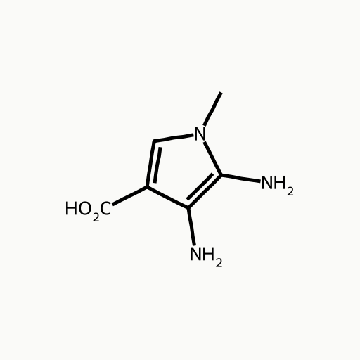 Cn1cc(C(=O)O)c(N)c1N